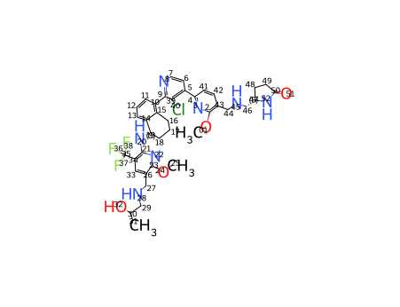 COc1nc(-c2ccnc(-c3cccc4c3CCC[C@@H]4Nc3nc(OC)c(CNCC(C)O)cc3C(F)(F)F)c2Cl)ccc1CNC[C@@H]1CCC(=O)N1